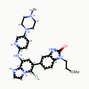 COCCn1c(=O)[nH]c2cc(-c3cc(Nc4ccc(N5CCN(C(C)C)CC5)cn4)c4nccn4c3Cl)ccc21